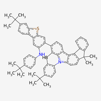 CC(C)(C)c1ccc(Nc2cc3c(cc2-c2ccc4c5c6c(ccc5n5c4c2Bc2cc(C(C)(C)C)ccc2-5)C(C)(C)c2ccccc2-6)sc2cc(C(C)(C)C)ccc23)cc1